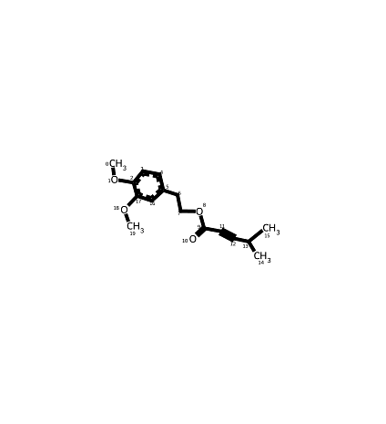 COc1ccc(CCOC(=O)C#CC(C)C)cc1OC